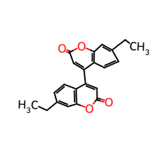 CCc1ccc2c(-c3cc(=O)oc4cc(CC)ccc34)cc(=O)oc2c1